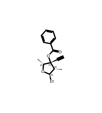 C#C[C@@]1(OC(=O)c2ccccc2)[C@H](C)[C@@H](CC)O[C@@H]1C